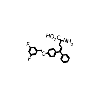 NC(CC=C(c1ccccc1)c1ccc(OCc2cc(F)cc(F)c2)cc1)C(=O)O